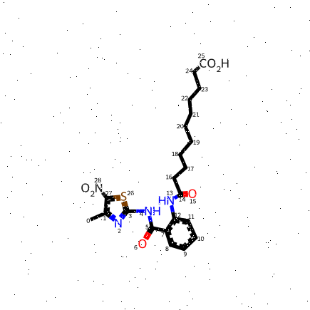 Cc1nc(NC(=O)c2ccccc2NC(=O)CCCCCCCCCC(=O)O)sc1[N+](=O)[O-]